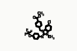 COC(=O)c1ccc(Cn2/c(=N\c3ccc(OC(F)(F)F)cc3)n(C)c3ccc(Cl)cc32)cc1